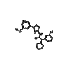 Cc1cncc(-c2cnc(NC(=O)C(c3ccccc3)c3cccc(Cl)c3)s2)c1